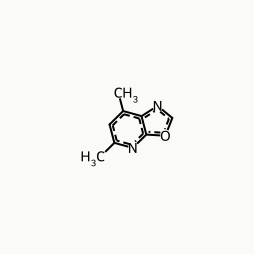 Cc1cc(C)c2ncoc2n1